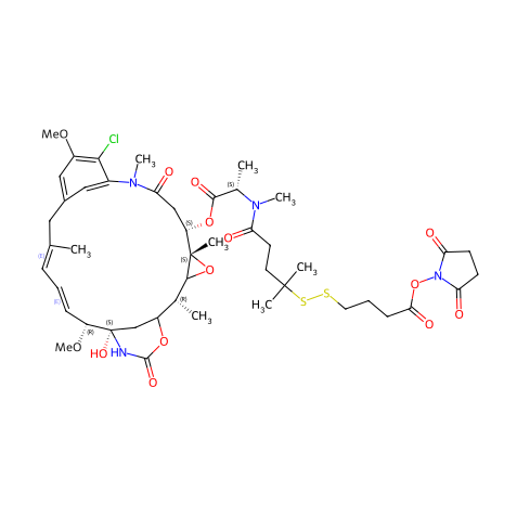 COc1cc2cc(c1Cl)N(C)C(=O)C[C@H](OC(=O)[C@H](C)N(C)C(=O)CCC(C)(C)SSCCCC(=O)ON1C(=O)CCC1=O)[C@]1(C)OC1[C@H](C)C1C[C@@](O)(NC(=O)O1)[C@H](OC)/C=C/C=C(\C)C2